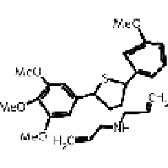 C=CCNCC=C.COc1cccc(C2CCC(c3cc(OC)c(OC)c(OC)c3)S2)c1